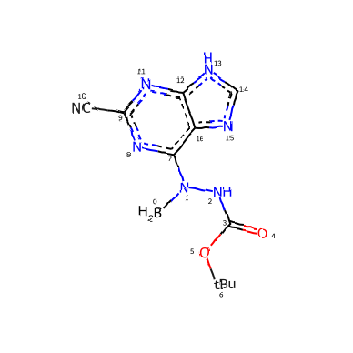 BN(NC(=O)OC(C)(C)C)c1nc(C#N)nc2[nH]cnc12